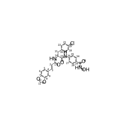 O=C(/C=C/c1ccc2c(c1)OCO2)NC(Cc1ccc(Cl)cc1)C(=O)Nc1ccc(C(=O)NO)cc1